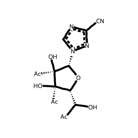 CC(=O)C(O)[C@H]1O[C@@H](n2cnc(C#N)n2)[C@@](O)(C(C)=O)[C@@]1(O)C(C)=O